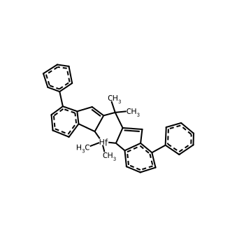 CC1(C)C2=Cc3c(-c4ccccc4)cccc3[CH]2[Hf]([CH3])([CH3])[CH]2C1=Cc1c(-c3ccccc3)cccc12